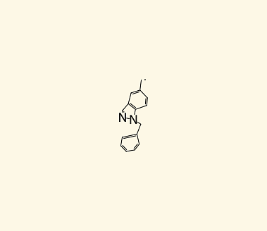 [CH2]c1ccc2c(cnn2Cc2ccccc2)c1